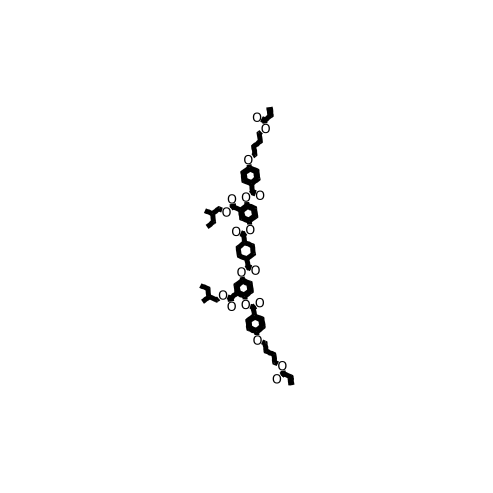 C=CC(=O)OCCCCOc1ccc(C(=O)Oc2ccc(OC(=O)C3CCC(C(=O)Oc4ccc(OC(=O)c5ccc(OCCCCOC(=O)C=C)cc5)c(C(=O)OCC(C)CC)c4)CC3)cc2C(=O)OCC(C)CC)cc1